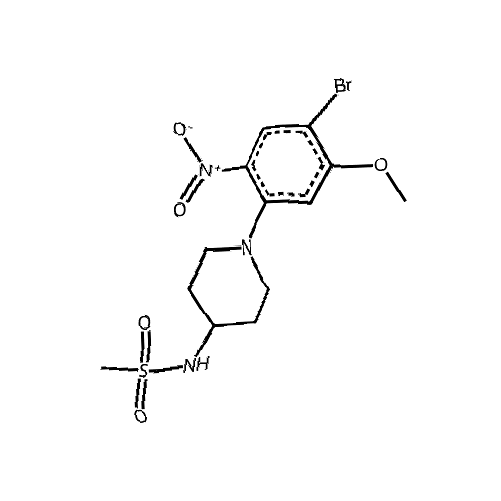 COc1cc(N2CCC(NS(C)(=O)=O)CC2)c([N+](=O)[O-])cc1Br